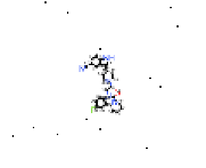 N#Cc1ccc2[nH]cc(C3CCN(CCN(C(=O)N4CCCCC4)c4ccc(F)cc4)CC3)c2c1